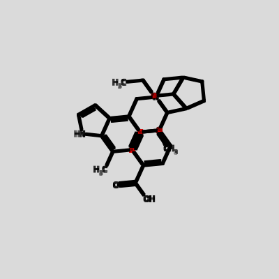 CCOC1C2CCC1C(c1ccc(C(=O)O)cc1)N(Cc1c(OC)cc(C)c3[nH]ccc13)C2